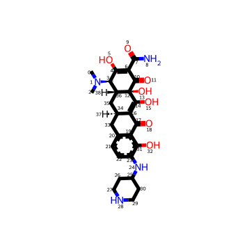 CN(C)[C@H]1C(O)=C(C(N)=O)C(=O)[C@]2(O)C(O)=C3C(=O)c4c(ccc(NC5CCNCC5)c4O)C[C@H]3C[C@H]12